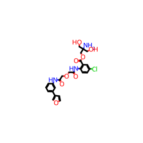 NC(CO)(CO)COC(=O)c1cc(Cl)ccc1NC(=O)COCC(=O)Nc1cccc(-c2ccoc2)c1